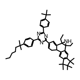 CCCCCC(C)(C)c1ccc(-c2nc(C3=CCC4C(=C3)C3(CC)NC3(CC)c3cc5c(cc34)C(C)(C)C(C)(C)C5(C)C)nc(-c3ccc(C(C)(C)C)cc3)n2)cc1